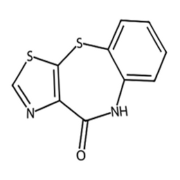 O=C1Nc2ccccc2Sc2scnc21